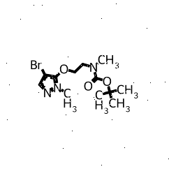 CN(CCOc1c(Br)cnn1C)C(=O)OC(C)(C)C